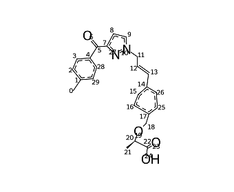 Cc1ccc(C(=O)c2ccn(CC=Cc3ccc(CO[C@H](C)C(=O)O)cc3)n2)cc1